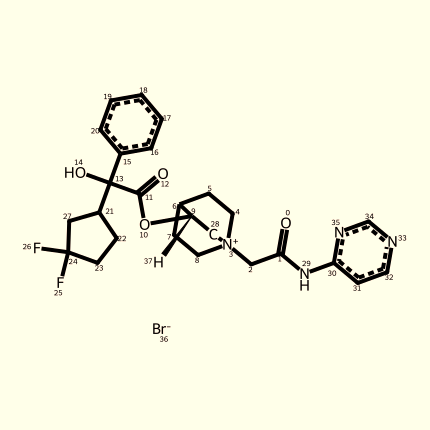 O=C(C[N+]12CCC(CC1)[C@@H](OC(=O)C(O)(c1ccccc1)C1CCC(F)(F)C1)C2)Nc1ccncn1.[Br-]